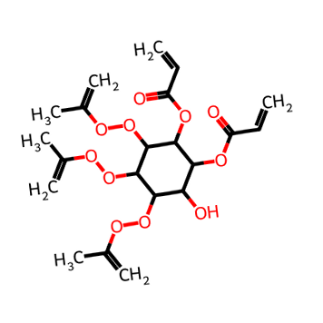 C=CC(=O)OC1C(O)C(OOC(=C)C)C(OOC(=C)C)C(OOC(=C)C)C1OC(=O)C=C